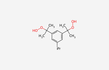 CC(C)c1cc(C(C)(C)OO)cc(C(C)(C)OO)c1